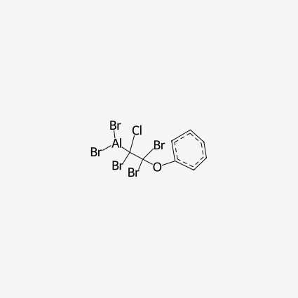 Cl[C](Br)([Al]([Br])[Br])C(Br)(Br)Oc1ccccc1